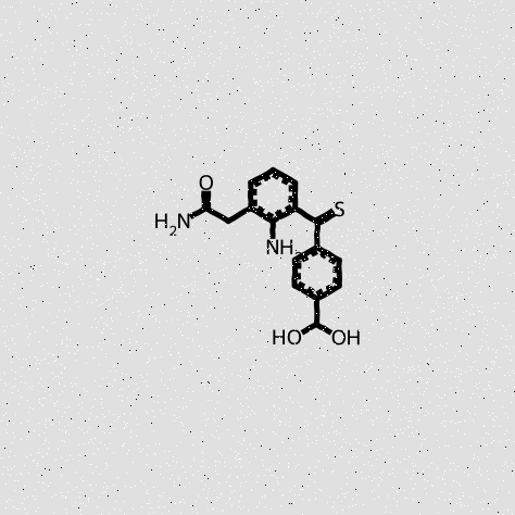 NC(=O)Cc1cccc(C(=S)c2ccc(C(O)O)cc2)c1N